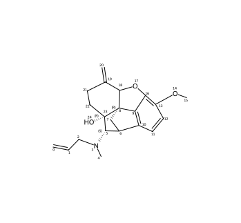 C=CCN(C)[C@H]1C2C[C@@]34c5c2ccc(OC)c5OC3C(=C)CC[C@]14O